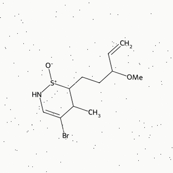 C=CC(CCC1C(C)C(Br)=CN[S+]1[O-])OC